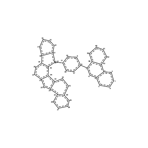 c1ccc2c(c1)cc(-c1ccc(-n3c4ccccc4c4ccc5oc6c7ccccc7ccc6c5c43)cc1)c1ccccc12